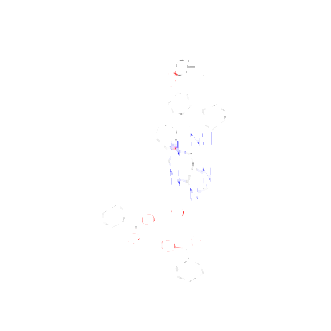 COc1ccc(C(Nc2ncnc3c2ncn3[C@H]2C[C@H](OC(=O)c3ccccc3)[C@H](COC(=O)c3ccccc3)O2)(c2ccccc2)c2ccccc2)cc1